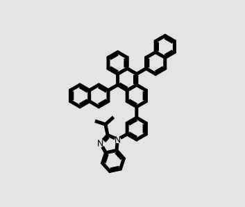 CC(C)c1nc2ccccc2n1-c1cccc(-c2ccc3c(-c4ccc5ccccc5c4)c4ccccc4c(-c4ccc5ccccc5c4)c3c2)c1